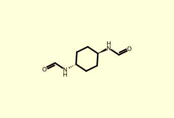 O=CN[C@H]1CC[C@H](NC=O)CC1